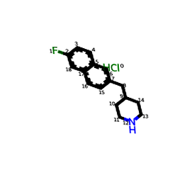 Cl.Fc1ccc2cc(CC3CCNCC3)ccc2c1